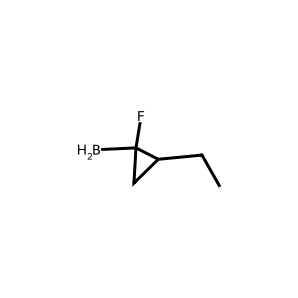 BC1(F)CC1CC